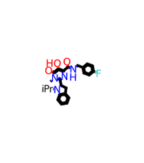 CC(C)N1c2ccccc2CC1c1nc(C(=O)NCc2ccc(F)cc2)c(O)c(=O)n1C